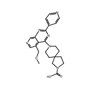 COCc1cncc2nc(-c3ccncc3)nc(N3CCC4(CCN(C(=O)O)C4)CC3)c12